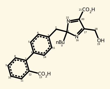 CCCCC1(Cc2ccc(-c3ccccc3C(=O)O)cc2)N=C(CO)C(C(=O)O)=N1